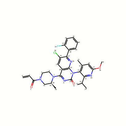 C=CC(=O)N1CCN(c2nc(=O)n(-c3c(C)cc(OC)nc3C(C)C)c3nc(-c4ccccc4F)c(Cl)cc23)[C@@H](C)C1